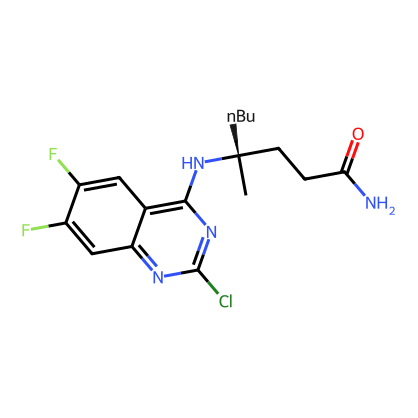 CCCC[C@](C)(CCC(N)=O)Nc1nc(Cl)nc2cc(F)c(F)cc12